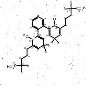 CC1(C)C=C(CCCC(C)(C)C(=O)O)[S+]([O-])C(c2ccccc2C2=CC(C)(C)C=C(CCCC(C)(C)C(=O)O)[S+]2[O-])=C1